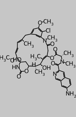 COc1cc2cc(c1Cl)N(C)C(=O)C/C(OC(=O)[C@H](C)N(C)C(=O)c1cc3ccc(N)cc3cn1)=C(\C)[C@@H](O)[C@H](C)[C@@H]1C[C@@](O)(NC(=O)O1)[C@H](OC)/C=C/C=C(\C)C2